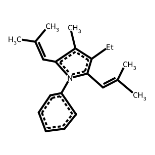 CCc1c(C)c(C=C(C)C)n(-c2ccccc2)c1C=C(C)C